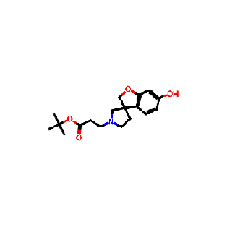 CC(C)(C)OC(=O)CCN1CCC2(COc3cc(O)ccc32)C1